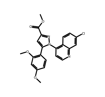 COC(=O)c1cc(-c2ccc(OC)cc2OC)n(-c2ccnc3cc(Cl)ccc23)n1